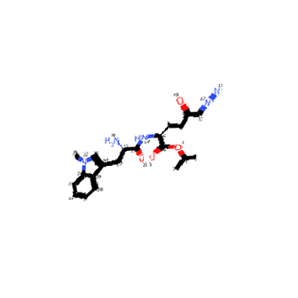 CC(C)OC(=O)[C@H](CCC(=O)C=[N+]=[N-])NC(=O)[C@@H](N)Cc1cn(C)c2ccccc12